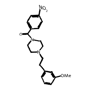 COc1cccc(CCN2CCN(C(=O)c3ccc([N+](=O)[O-])cc3)CC2)c1